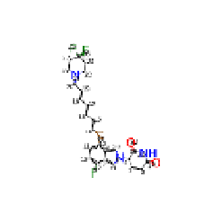 O=C1CCC(n2cc3c(F)ccc(SCCCCCCCN4CCC(F)(F)CC4)c3c2)C(=O)N1